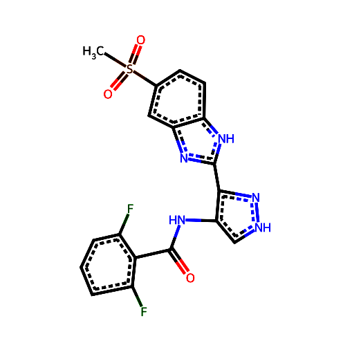 CS(=O)(=O)c1ccc2[nH]c(-c3n[nH]cc3NC(=O)c3c(F)cccc3F)nc2c1